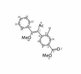 COC(=O)c1ccc(/C(C(C)=O)=C(\OC)c2ccccc2)c(C)c1